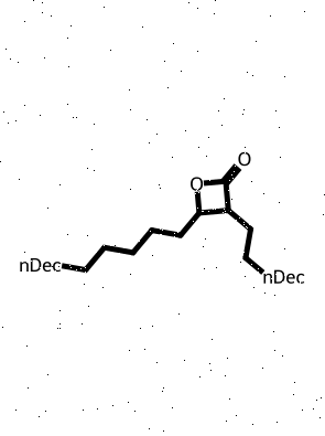 CCCCCCCCCCCCCCCC1OC(=O)C1CCCCCCCCCCCC